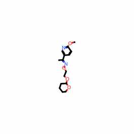 COc1ccc(C(C)=NOCCOC2CCCCO2)cn1